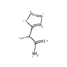 CC(C(N)=O)c1nncs1